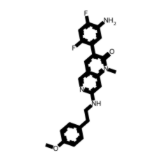 COc1ccc(CCNc2cc3c(cn2)cc(-c2cc(N)c(F)cc2F)c(=O)n3C)cc1